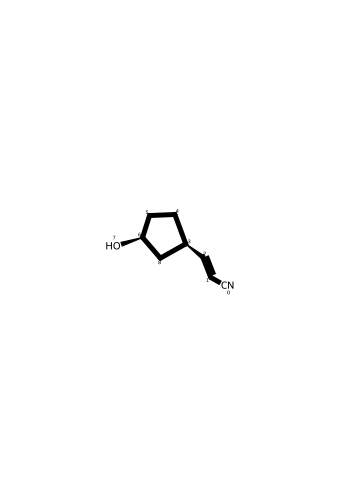 N#CC=C[C@@H]1CC[C@H](O)C1